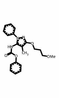 COCCCOc1nn(-c2ccccc2)c(NC(=O)Oc2ccccc2)c1C